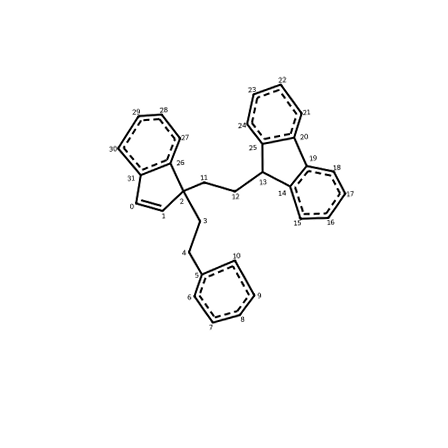 C1=CC(CCc2ccccc2)(CCC2c3ccccc3-c3ccccc32)c2ccccc21